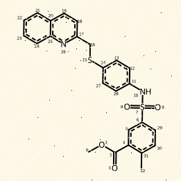 COC(=O)c1cc(S(=O)(=O)Nc2ccc(SCc3ccc4ccccc4n3)cc2)ccc1C